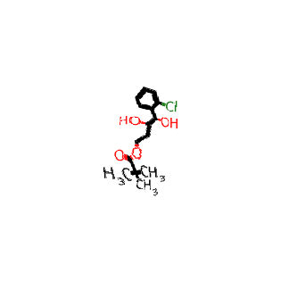 CC(C)(C)C(=O)OCC[C@@H](O)[C@H](O)c1ccccc1Cl